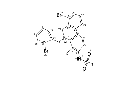 Cc1c(NS(C)(=O)=O)cccc1N(Cc1ccccc1Br)Cc1ccccc1Br